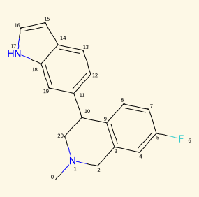 CN1Cc2cc(F)ccc2C(c2ccc3cc[nH]c3c2)C1